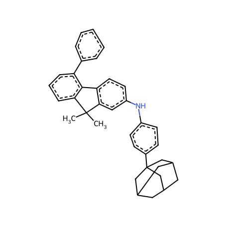 CC1(C)c2cc(Nc3ccc(C45CC6CC(CC(C6)C4)C5)cc3)ccc2-c2c(-c3ccccc3)cccc21